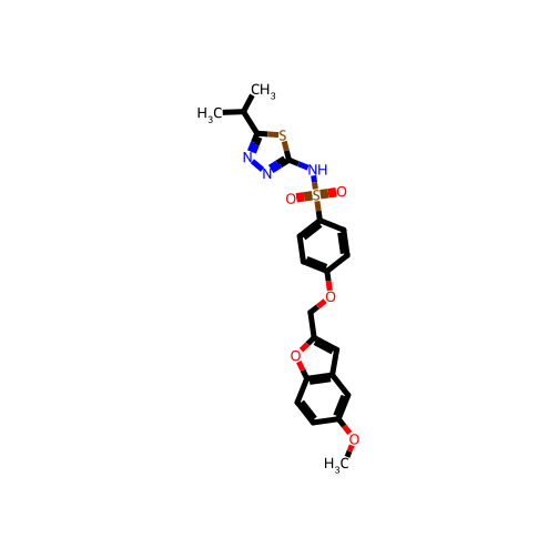 COc1ccc2oc(COc3ccc(S(=O)(=O)Nc4nnc(C(C)C)s4)cc3)cc2c1